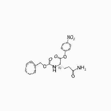 NC(=O)CC[C@H](NC(=O)OCc1ccccc1)C(=O)Oc1ccc([N+](=O)[O-])cc1